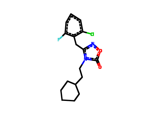 O=c1onc(Cc2c(F)cccc2Cl)n1CCC1CCCCC1